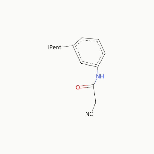 CCCC(C)c1cccc(NC(=O)CC#N)c1